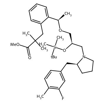 COC(=O)C(C)(C)Cc1ccccc1[C@@H](C)OC[C@@H](CN1CCC[C@H]1Cc1ccc(C)c(F)c1)O[Si](C)(C)C(C)(C)C